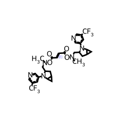 CN(CC1CC2CC2N1c1cncc(C(F)(F)F)c1)OC(=O)/C=C/C(=O)ON(C)CC1CC2CC2N1c1cncc(C(F)(F)F)c1